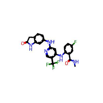 CNC(=O)c1cc(F)ccc1Nc1cc(Nc2ccc3c(c2)NC(=O)C3)ncc1C(F)(F)F